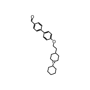 O=Cc1ccc(-c2ccc(OCCC3CCN(C4CCCCC4)CC3)cc2)cc1